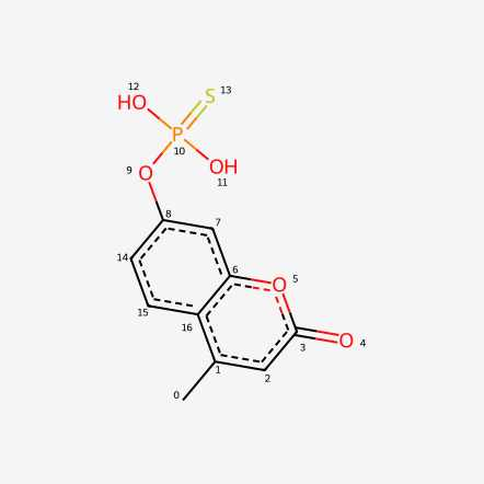 Cc1cc(=O)oc2cc(OP(O)(O)=S)ccc12